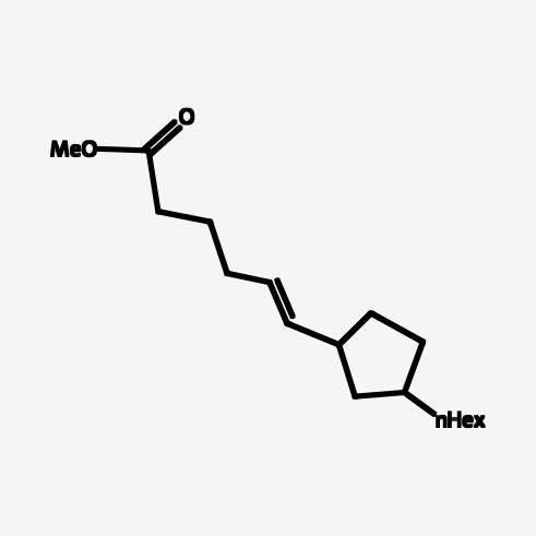 CCCCCCC1CCC(C=CCCCC(=O)OC)C1